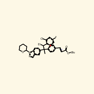 CCC(c1ccc(F)cc1Cl)C(C)(c1ccc(/C=C/C(=O)OC(C)(C)C)cc1)c1ccc2c(cnn2C2CCCCO2)c1